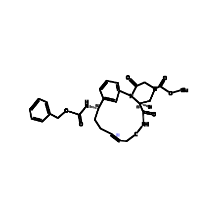 CC(C)(C)OC(=O)N1CC(=O)N2c3cccc(c3)[C@@H](NC(=O)OCc3ccccc3)CC/C=C/CCNC(=O)[C@@H]2C1